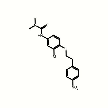 CN(C)C(=O)Nc1ccc(OCCc2ccc([N+](=O)[O-])cc2)c(Cl)c1